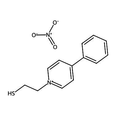 O=[N+]([O-])[O-].SCC[n+]1ccc(-c2ccccc2)cc1